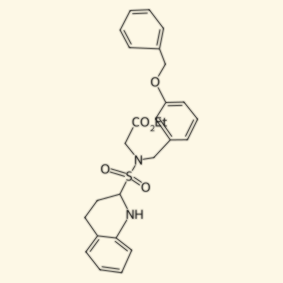 CCOC(=O)CN(Cc1cccc(OCc2ccccc2)c1)S(=O)(=O)C1CCc2ccccc2N1